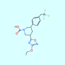 CCOc1noc(C2CC(c3ccc(CC(F)(F)F)cc3)CN(C(=O)O)C2)n1